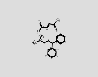 CN(C)CCC(c1ccccc1)c1ccccn1.O=C(O)C=CC(=O)O